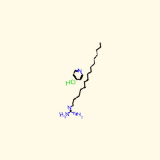 CCCCCCCCCCCCCCCCN=C(N)N.Cl.c1ccncc1